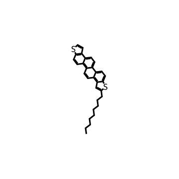 CCCCCCCCCc1cc2c(ccc3c2ccc2c4ccc5sccc5c4ccc32)s1